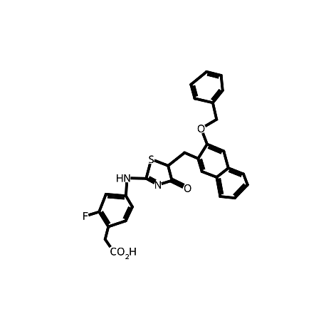 O=C(O)Cc1ccc(NC2=NC(=O)C(Cc3cc4ccccc4cc3OCc3ccccc3)S2)cc1F